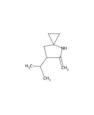 C=C1NC2(CC2)CC1C(C)C